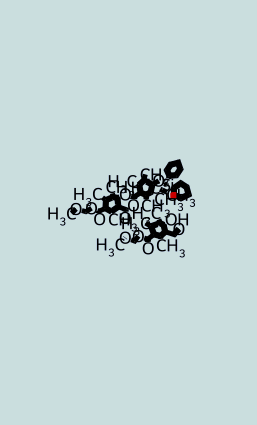 COCOC(=O)c1c(C)c(C)c(O)c(C=O)c1C.COCOC(=O)c1c(C)c(C)c(OC(=O)c2c(C)cc(O[Si](c3ccccc3)(c3ccccc3)C(C)(C)C)c(C)c2C)c(C=O)c1C